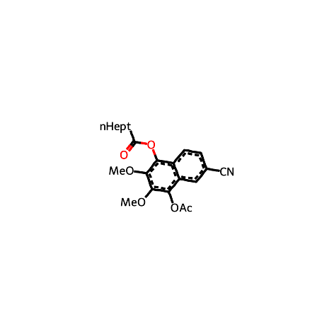 CCCCCCCC(=O)Oc1c(OC)c(OC)c(OC(C)=O)c2cc(C#N)ccc12